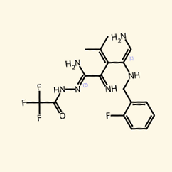 CC(C)=C(C(=N)/C(N)=N/NC(=O)C(F)(F)F)/C(=C\N)NCc1ccccc1F